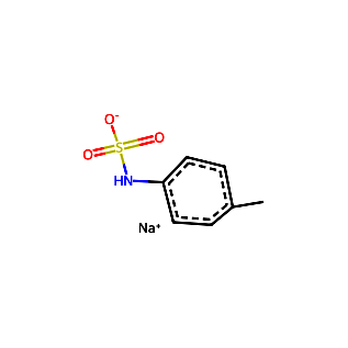 Cc1ccc(NS(=O)(=O)[O-])cc1.[Na+]